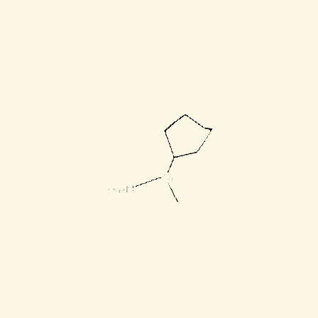 CN[SiH](C)C1CCCC1